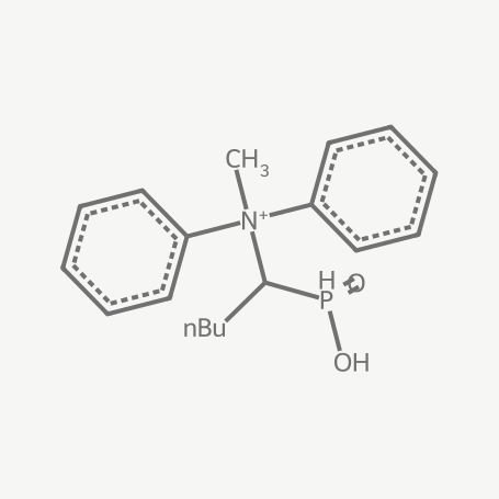 CCCCC([PH](=O)O)[N+](C)(c1ccccc1)c1ccccc1